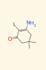 CC1(C)CC(=O)C(I)=C(N)C1